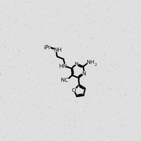 CC(C)NCCNc1nc(N)nc(-c2ccco2)c1C#N